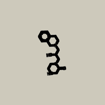 O=C1CNCCN1CC(O)CN1CCc2ccccc2C1